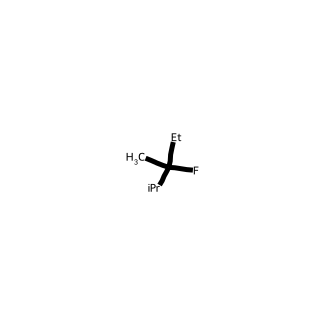 CCC(C)(F)C(C)C